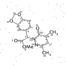 COC(=O)C(c1ccc2c(c1)OCO2)n1nc(C)cc(C)c1=O